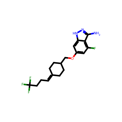 Nc1n[nH]c2cc(OCC3CCC(=CCCC(F)(F)F)CC3)cc(F)c12